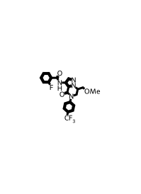 COCC1CN(c2ccc(C(F)(F)F)cc2)C(=O)c2c(NC(=O)c3ccccc3F)cnn21